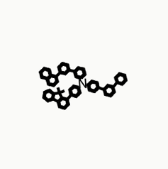 CC1(C)c2ccccc2-c2cccc(-c3ccc(N(c4ccc(-c5cccc(-c6ccccc6)c5)cc4)c4cccc(-c5cccc(-c6cccc7ccccc67)c5)c4)cc3)c21